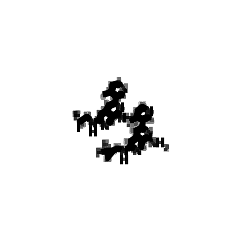 Cc1ccncc1-c1cc2cc(NCC(F)F)ncc2c(N)n1.Cc1ccncc1-c1cc2cc(NCC3CC3(F)F)ncc2c(N)n1